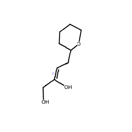 OC/C(O)=C/CC1CCCCO1